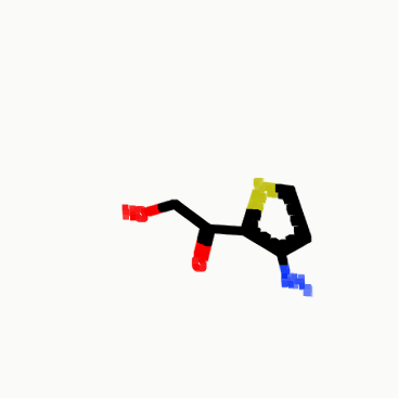 Nc1ccsc1C(=O)CO